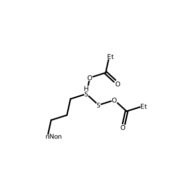 CCCCCCCCCCCC[SH](OC(=O)CC)SOC(=O)CC